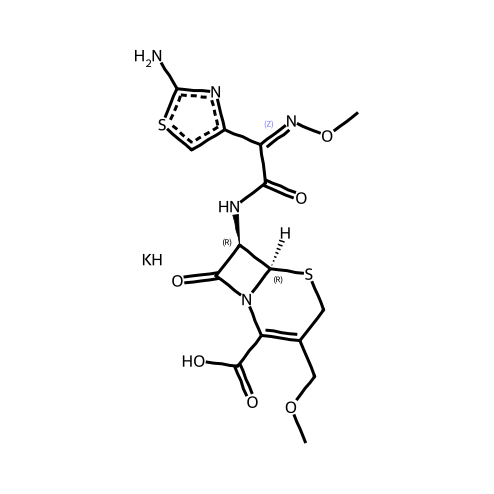 COCC1=C(C(=O)O)N2C(=O)[C@@H](NC(=O)/C(=N\OC)c3csc(N)n3)[C@H]2SC1.[KH]